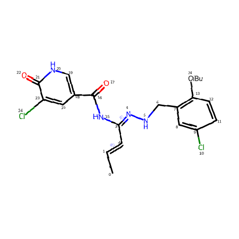 C/C=C/C(=N\NCc1cc(Cl)ccc1OCC(C)C)NC(=O)c1c[nH]c(=O)c(Cl)c1